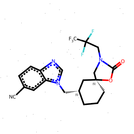 N#Cc1ccc2ncn(C[C@H]3CCC[C@]4(C3)CN(CC(F)(F)C(F)(F)F)C(=O)O4)c2c1